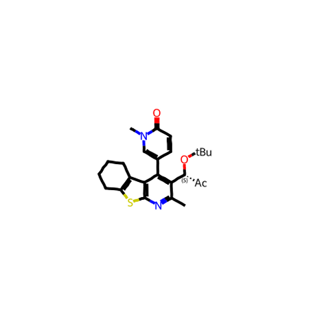 CC(=O)[C@@H](OC(C)(C)C)c1c(C)nc2sc3c(c2c1-c1ccc(=O)n(C)c1)CCCC3